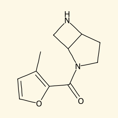 Cc1ccoc1C(=O)N1CCC2NCC21